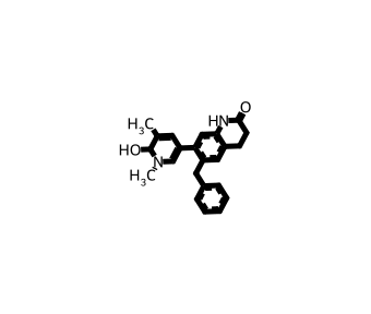 CC1=CC(c2cc3c(cc2Cc2ccccc2)CCC(=O)N3)=CN(C)C1O